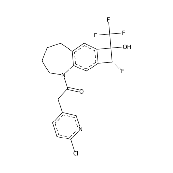 O=C(Cc1ccc(Cl)nc1)N1CCCCc2cc3c(cc21)[C@@H](F)C3(O)C(F)(F)F